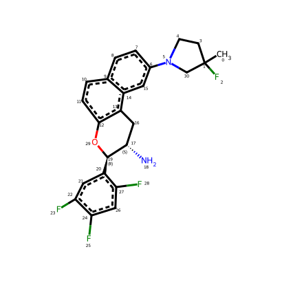 CC1(F)CCN(c2ccc3ccc4c(c3c2)C[C@H](N)[C@@H](c2cc(F)c(F)cc2F)O4)C1